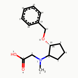 CN(CC(=O)O)C1CCC[C@H]1OCc1ccccc1